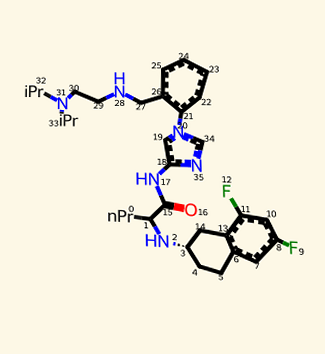 CCCC(N[C@H]1CCc2cc(F)cc(F)c2C1)C(=O)Nc1cn(-c2ccccc2CNCCN(C(C)C)C(C)C)cn1